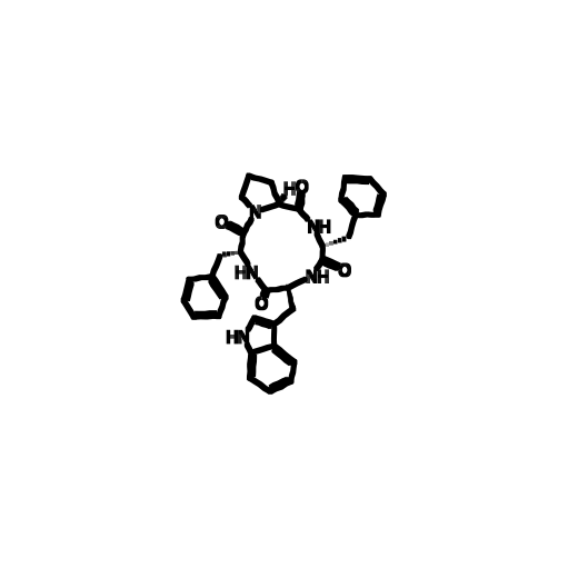 O=C1N[C@H](Cc2ccccc2)C(=O)N2CCC[C@@H]2C(=O)N[C@H](Cc2ccccc2)C(=O)N[C@H]1Cc1c[nH]c2ccccc12